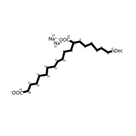 CCCCCCCCCCCCCCCCC(CCCCCCCCCCCC(=O)[O-])C(=O)[O-].[Na+].[Na+]